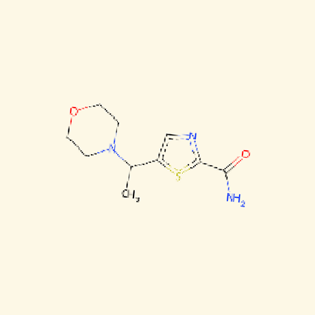 CC(c1cnc(C(N)=O)s1)N1CCOCC1